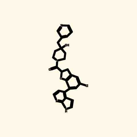 O=C(C1Cc2cc(Cl)cc(-c3ccnc4[nH]ccc34)c2O1)N1CCC(O)(Cc2cccnc2)CC1